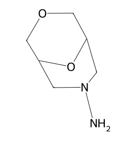 NN1CC2COCC(C1)O2